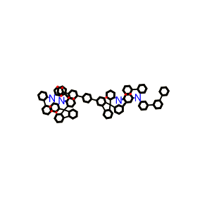 c1ccc(-c2cccc(-c3cccc(N(c4ccc5c(c4)c4cccc6c4n5-c4ccccc4C64c5ccccc5-c5cc(-c6ccc(-c7ccc(-c8cccc(N(c9ccccc9-c9ccccc9)c9cccc%10c9-n9c%11ccccc%11c%11cccc(c%119)C%109c%10ccccc%10-c%10ccccc%109)c8)cc7)cc6)ccc54)c4ccccc4-c4ccccc4)c3)c2)cc1